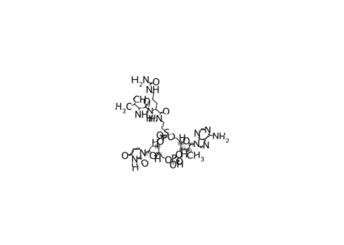 CC(C)C(N)C(=O)NC(CCCNC(N)=O)C(=O)NCCSP1(=O)OC[C@H]2O[C@@H](n3cnc4c(N)ncnc43)[C@H](C)[C@@H]2OP(=O)(O)OC[C@H]2O[C@@H](n3ccc(=O)[nH]c3=O)C[C@@H]2O1